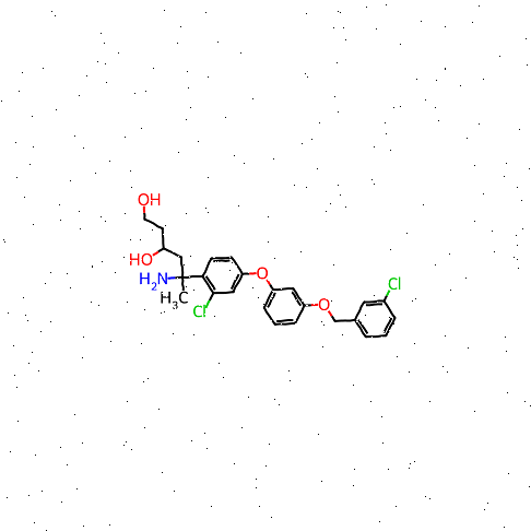 CC(N)(CC(O)CCO)c1ccc(Oc2cccc(OCc3cccc(Cl)c3)c2)cc1Cl